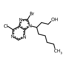 CCCCCC(CCO)n1c(Br)nc2c(Cl)ncnc21